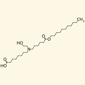 CCCCCCCCCCCOC(=O)CCCCCN(CCO)CCCCCCCC(=O)O